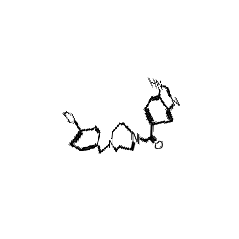 O=C(c1ccc2[nH]cnc2c1)N1CCN(Cc2ccc(Cl)cc2)CC1